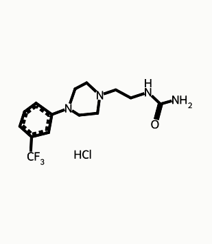 Cl.NC(=O)NCCN1CCN(c2cccc(C(F)(F)F)c2)CC1